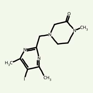 Cc1nc(CN2CCN(C)C(=O)C2)nc(C)c1I